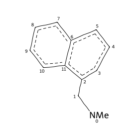 [CH2-][NH2+]Cc1cccc2ccccc12